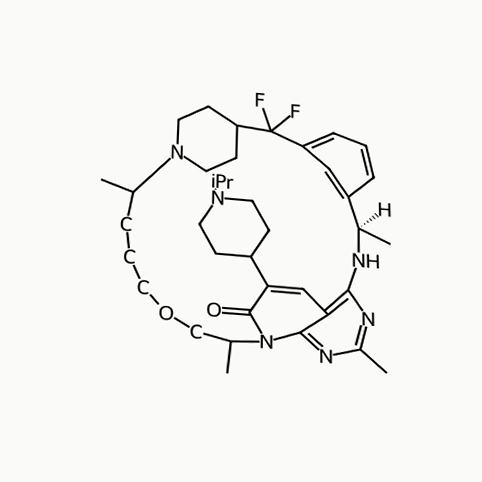 Cc1nc2c3cc(C4CCN(C(C)C)CC4)c(=O)n(c3n1)C(C)COCCCC(C)N1CCC(CC1)C(F)(F)c1cccc(c1)[C@@H](C)N2